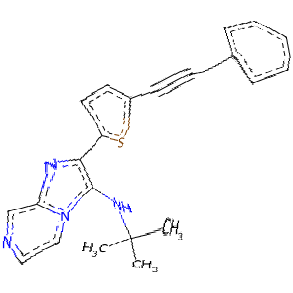 CC(C)(C)Nc1c(-c2ccc(C#Cc3ccccc3)s2)nc2cnccn12